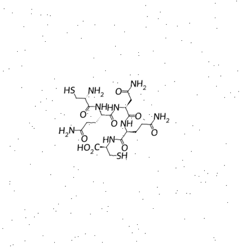 NC(=O)CC[C@H](NC(=O)[C@H](CC(N)=O)NC(=O)[C@H](CCC(N)=O)NC(=O)[C@@H](N)CS)C(=O)N[C@@H](CS)C(=O)O